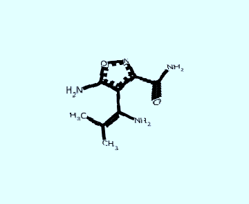 CC(C)=C(N)c1c(C(N)=O)noc1N